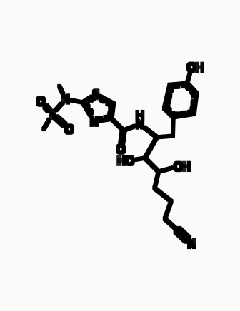 CN(c1nc(C(=O)NC(Cc2ccc(O)cc2)C(O)C(O)CCCC#N)cs1)S(C)(=O)=O